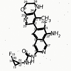 Cc1c(-c2cc3cc(NC(=O)N[C@H]4C[C@H]4F)ncc3c(N)c2F)cnc2c1NCCO2